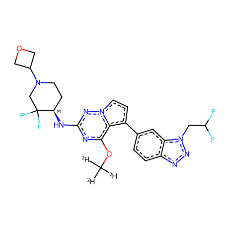 [2H]C([2H])([2H])Oc1nc(N[C@@H]2CCN(C3COC3)CC2(F)F)nn2ccc(-c3ccc4nnn(CC(F)F)c4c3)c12